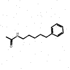 CC(=O)NCCCCCc1ccccc1